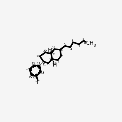 CCCCCCC1CC[C@@H]2C[C@H](c3cccc(F)c3)CC[C@@H]2C1